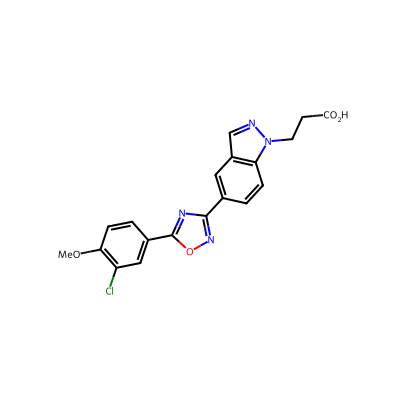 COc1ccc(-c2nc(-c3ccc4c(cnn4CCC(=O)O)c3)no2)cc1Cl